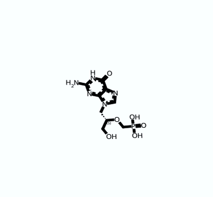 Nc1nc2c(ncn2C[C@@H](CO)OCP(=O)(O)O)c(=O)[nH]1